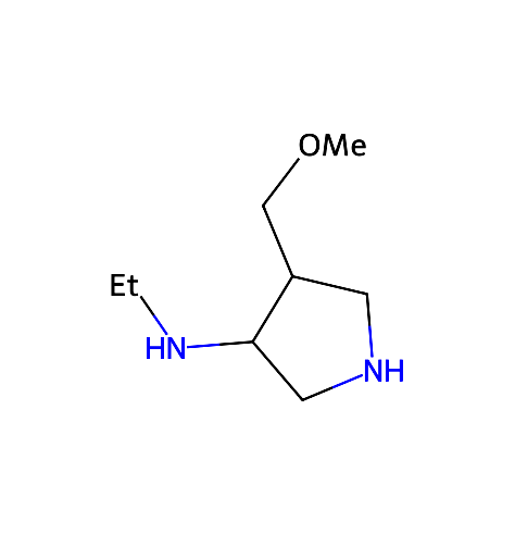 CCNC1CNCC1COC